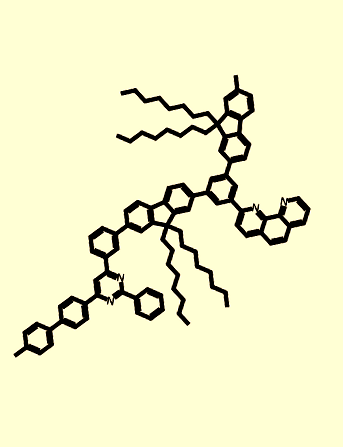 CCCCCCCCC1(CCCCCCCC)c2cc(C)ccc2-c2ccc(-c3cc(-c4ccc5c(c4)C(CCCCCCCC)(CCCCCCCC)c4cc(-c6cccc(-c7cc(-c8ccc(-c9ccc(C)cc9)cc8)nc(-c8ccccc8)n7)c6)ccc4-5)cc(-c4ccc5ccc6cccnc6c5n4)c3)cc21